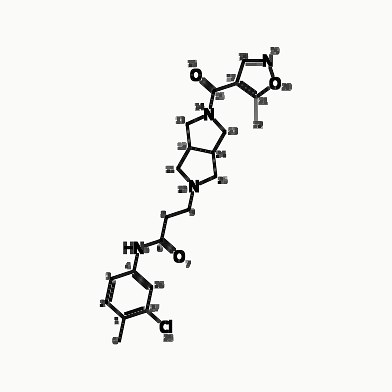 Cc1ccc(NC(=O)CCN2CC3CN(C(=O)c4cnoc4C)CC3C2)cc1Cl